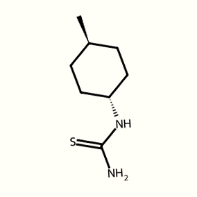 C[C@H]1CC[C@H](NC(N)=S)CC1